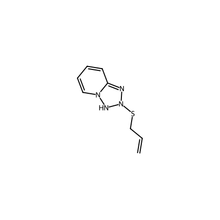 C=CCSN1N=C2C=CC=CN2N1